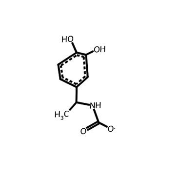 CC(NC([O])=O)c1ccc(O)c(O)c1